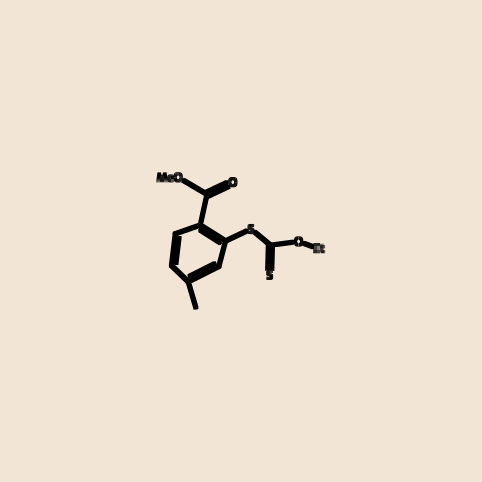 CCOC(=S)Sc1cc(C)ccc1C(=O)OC